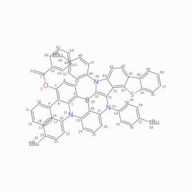 C=C(Oc1ccc2c(c1-c1ccccc1)N(c1ccc(C(C)(C)C)cc1)c1cccc3c1B2c1c(c2c4sc5ccccc5c4ccc2n1-c1ccc(C(C)(C)C)cc1)N3c1ccc(C(C)(C)C)cc1)c1ccccc1